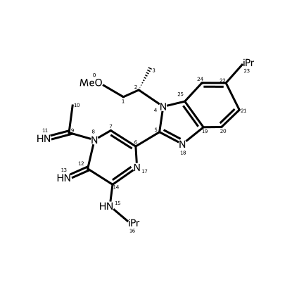 COC[C@H](C)n1c(-c2cn(C(C)=N)c(=N)c(NC(C)C)n2)nc2ccc(C(C)C)cc21